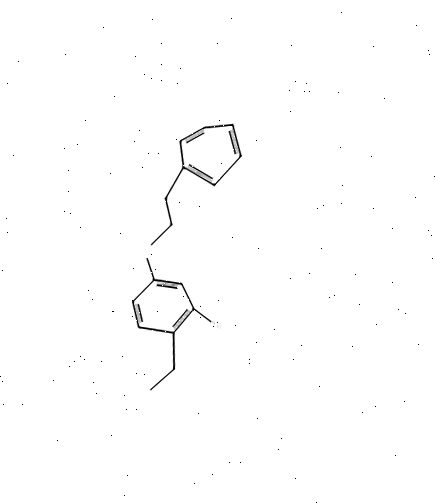 CCc1ccc(OCCc2ccccc2)cc1N